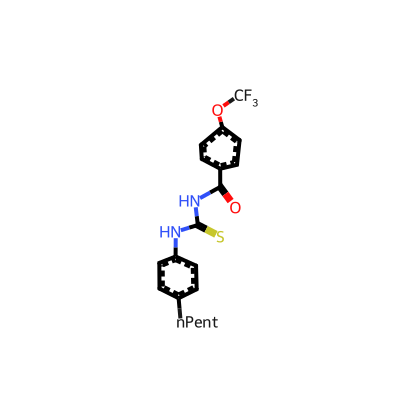 CCCCCc1ccc(NC(=S)NC(=O)c2ccc(OC(F)(F)F)cc2)cc1